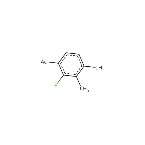 CC(=O)c1ccc(C)c(C)c1F